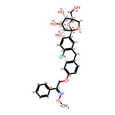 CON=C(COc1ccc(Cc2cc([C@]34OC[C@](CO)(O3)[C@@H](O)[C@H](O)[C@H]4O)ccc2Cl)cc1)c1ccccc1